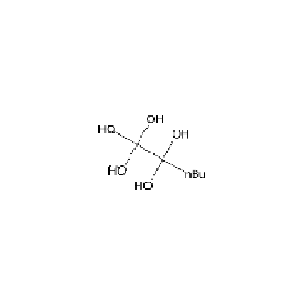 CCCCC(O)(O)C(O)(O)O